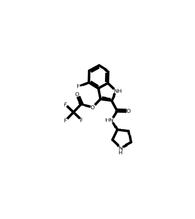 O=C(NC1CCNC1)c1[nH]c2cccc(F)c2c1OC(=O)C(F)(F)F